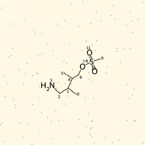 CC(CN)C(C)COS(C)(=O)=O